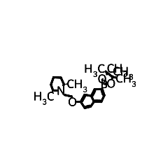 C[C@@H]1CCC[C@H](C)N1CCOc1ccc2ccc(B3OC(C)(C)C(C)(C)O3)cc2c1